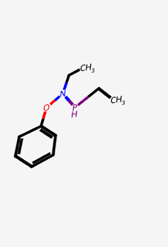 CCPN(CC)Oc1ccccc1